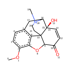 COc1ccc2c3c1OC1C(=O)C=C[C@@]4(O)C(C2)N(C)CCC314